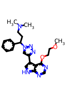 COCCOc1ncnc2[nH]cc(-c3cn(C(CCN(C)C)c4ccccc4)nn3)c12